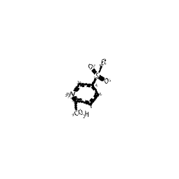 CCS(=O)(=O)c1ccc(C(=O)O)nc1